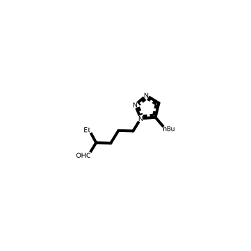 CCCCc1cnnn1CCCC(C=O)CC